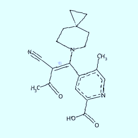 CC(=O)/C(C#N)=C(\c1cc(C(=O)O)ncc1C)N1CCC2(CC1)CC2